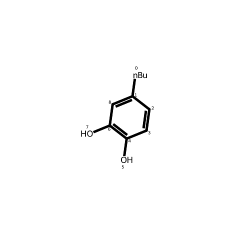 [CH2]CCCc1ccc(O)c(O)c1